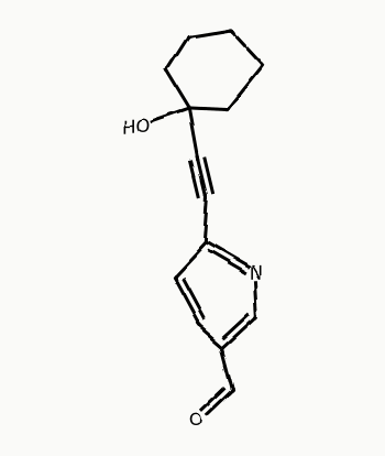 O=Cc1ccc(C#CC2(O)CCCCC2)nc1